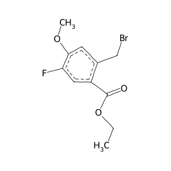 CCOC(=O)c1cc(F)c(OC)cc1CBr